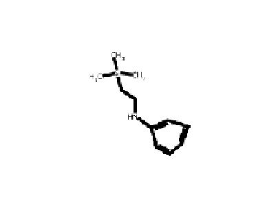 C[Si](C)(C)CCNc1ccccc1